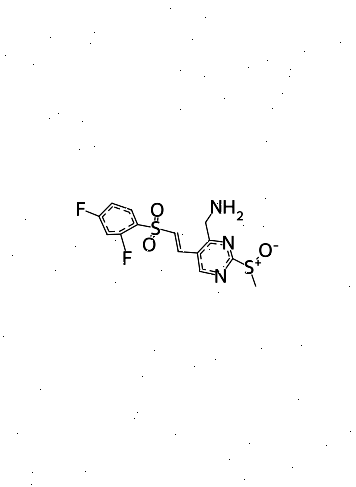 C[S+]([O-])c1ncc(/C=C/S(=O)(=O)c2ccc(F)cc2F)c(CN)n1